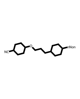 CCCCCCCCCC1CCC(CCCOC2CCC(C#N)CC2)CC1